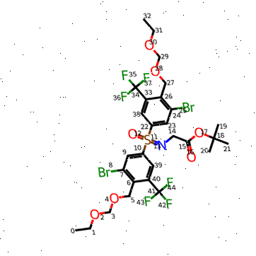 CCOCOCc1c(Br)cc(S(=O)(=NCC(=O)OC(C)(C)C)c2cc(Br)c(COCOCC)c(C(F)(F)F)c2)cc1C(F)(F)F